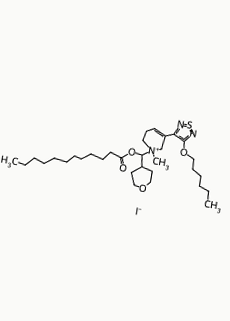 CCCCCCCCCCCC(=O)OC(C1CCOCC1)[N+]1(C)CCC=C(c2nsnc2OCCCCCC)C1.[I-]